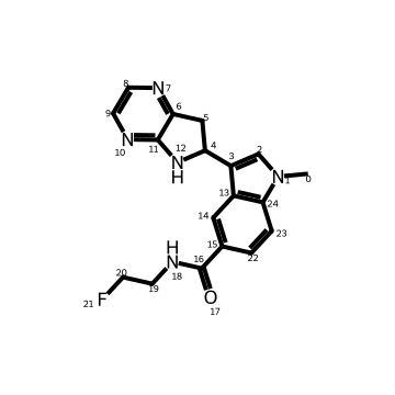 Cn1cc(C2Cc3nccnc3N2)c2cc(C(=O)NCCF)ccc21